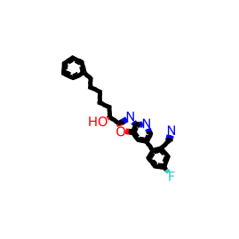 N#Cc1cc(F)ccc1-c1cnc2nc(C(O)CCCCCc3ccccc3)oc2c1